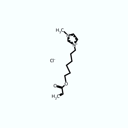 C=CC(=O)OCCCCCC[n+]1ccn(C)c1.[Cl-]